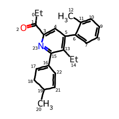 CCC(=O)c1cc(-c2ccccc2C)c(CC)c(C2=CCC(C)C=C2)n1